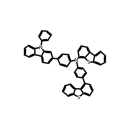 c1ccc(-n2c3ccccc3c3ccc(-c4ccc(N(c5ccc(-c6cccc7sc8ccccc8c67)cc5)c5cccc6c5sc5ccccc56)cc4)cc32)cc1